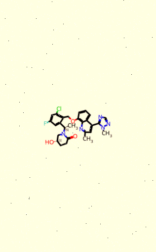 Cc1cc(-c2ncnn2C)c2cccc(OCc3c(Cl)cc(F)cc3[C@H](C)N3C[C@@H](O)CCC3=O)c2n1